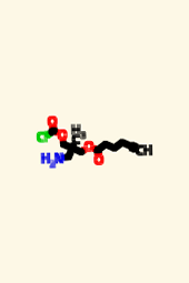 C#CCCCC(=O)OCC(C)(CN)COC(=O)Cl